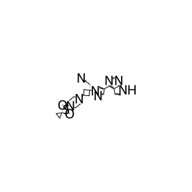 N#CC[C@]1(n2cc(-c3ncnc4[nH]ccc34)cn2)C[C@@H](N2CCN(S(=O)(=O)C3CC3)CC2)C1